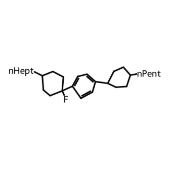 CCCCCCCC1CCC(F)(c2ccc(C3CCC(CCCCC)CC3)cc2)CC1